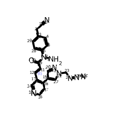 N#CCc1ccc(N(N)C(=O)/C=C/c2cnccc2-c2cnn(CN=[N+]=[N-])c2)cc1